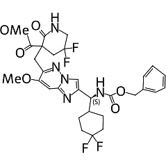 COC(=O)C1(Cc2nn3cc([C@@H](NC(=O)OCc4ccccc4)C4CCC(F)(F)CC4)nc3cc2OC)CC(F)(F)CNC1=O